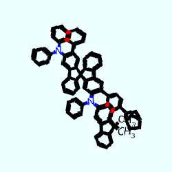 CC1(C)c2ccccc2-c2cc(N(c3ccccc3)c3cc4c(cc3-c3ccc(C5CC6CCC5C6)cc3)-c3ccccc3C43c4ccccc4-c4cc(N(c5ccccc5)c5ccccc5)c(-c5ccccc5)cc43)ccc21